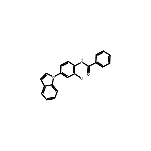 O=C(Nc1ccc(-n2ccc3ccccc32)cc1Cl)c1ccccc1